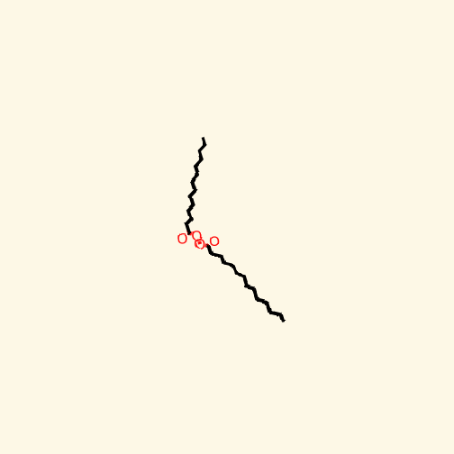 CCCCCCCCCCCCCC(=O)OOC(=O)CCCCCCCCCCCCC